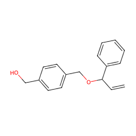 C=CC(OCc1ccc(CO)cc1)c1ccccc1